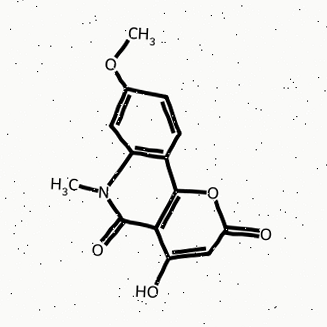 COc1ccc2c3oc(=O)cc(O)c3c(=O)n(C)c2c1